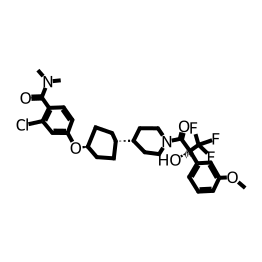 COc1cccc([C@@](O)(C(=O)N2CCC([C@H]3CC[C@@H](Oc4ccc(C(=O)N(C)C)c(Cl)c4)CC3)CC2)C(F)(F)F)c1